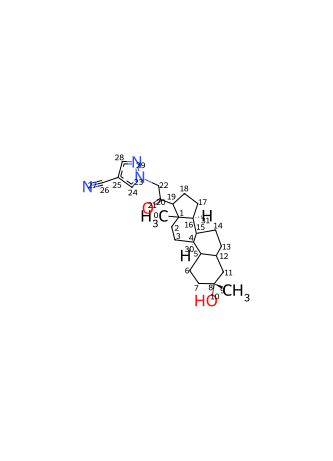 CC12CC[C@@H]3C4CC[C@@](C)(O)CC4CCC3[C@@H]1CCC2C(=O)Cn1cc(C#N)cn1